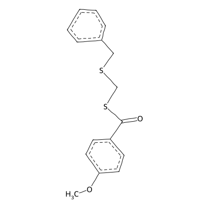 COc1ccc(C(=O)SCSCc2ccccc2)cc1